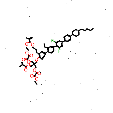 C=C(C)C(=O)OCCCc1cc(-c2ccc(-c3c(F)cc(-c4ccc(C5CCC(CCCCC)CC5)cc4)cc3F)cc2CC)ccc1OCC(COC(=O)C(=C)C)(COC(=O)C(=O)OCC)COC(=O)C(=O)OCC